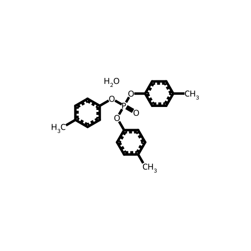 Cc1ccc(OP(=O)(Oc2ccc(C)cc2)Oc2ccc(C)cc2)cc1.O